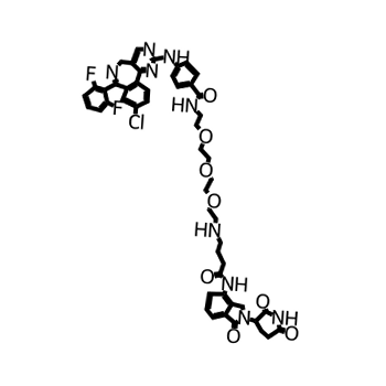 O=C1CCC(N2Cc3c(NC(=O)CCCNCCOCCOCCOCCNC(=O)c4ccc(Nc5ncc6c(n5)-c5ccc(Cl)cc5C(c5c(F)cccc5F)=NC6)cc4)cccc3C2=O)C(=O)N1